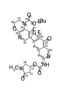 Cc1c(-c2cc3cc(NC(=O)OC4CC(=O)N(C)C4)ncc3c(Cl)c2F)cnc2c1N(C(=O)OC(C)(C)C)CCO2